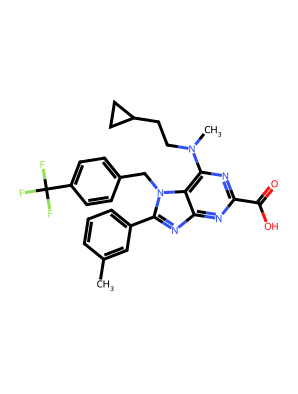 Cc1cccc(-c2nc3nc(C(=O)O)nc(N(C)CCC4CC4)c3n2Cc2ccc(C(F)(F)F)cc2)c1